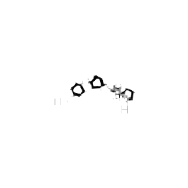 Cc1ccc(Oc2ccc(OCS(=O)(=O)[C@H]3CCCN3)cc2)cc1